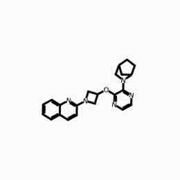 c1ccc2nc(N3CC(Oc4nccnc4N4CC5CCC4C5)C3)ccc2c1